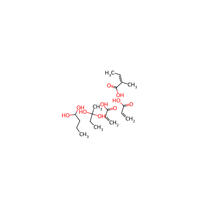 C=CC(=O)O.C=CC(=O)O.CC=C(C)C(=O)O.CCC(C)(O)O.CCCC(O)O